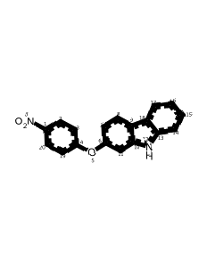 O=[N+]([O-])c1ccc(Oc2ccc3c(c2)[nH]c2ccccc23)cc1